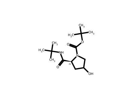 CC(C)(C)NC(=O)[C@@H]1CC(O)CN1C(=O)OC(C)(C)C